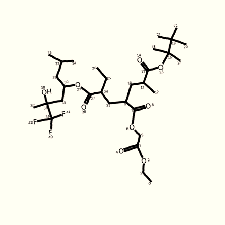 CCOC(=O)COC(=O)C(CC(C)C(=O)OC(C)(C)C(C)(C)C)CC(CC)C(=O)OC(CC(C)C)CC(C)(O)C(F)(F)F